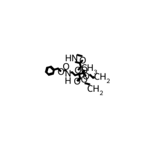 C=CCOC(=O)C(CCNC(=O)OCc1ccccc1)(OC(C)C1CNCCO1)C(=O)OCC=C